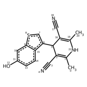 CC1=C(C#N)C(c2csc3cc(O)ccc23)C(C#N)=C(C)N1